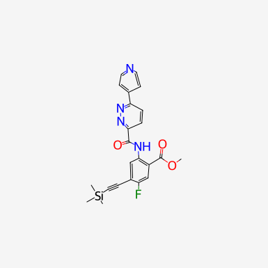 COC(=O)c1cc(F)c(C#C[Si](C)(C)C)cc1NC(=O)c1ccc(-c2ccncc2)nn1